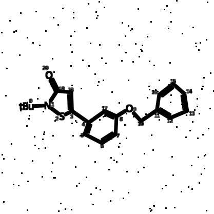 CC(C)(C)n1sc(-c2cccc(OCc3ccccc3)c2)cc1=O